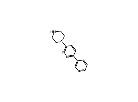 c1ccc(-c2ccc(N3CCNCC3)nn2)cc1